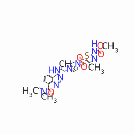 CCN(C)C(=O)c1cccc2c(NC(C)CN3CCN(S(=O)(=O)c4sc(NC(=O)OC)nc4C)CC3)ncnc12